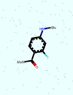 CNC(=O)c1ccc(NC(C)(C)C)cc1F